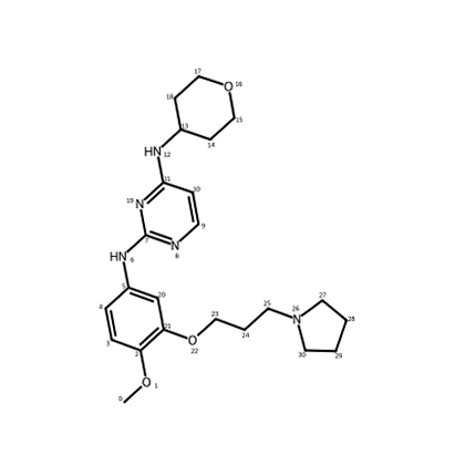 COc1ccc(Nc2nccc(NC3CCOCC3)n2)cc1OCCCN1CCCC1